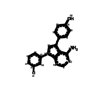 Nc1ncnc2c1c(-c1ccc(O)cc1)cn2-c1cccc(Cl)c1